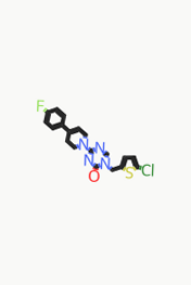 O=c1nc(N2CC=C(c3ccc(F)cc3)CC2)ncn1Cc1ccc(Cl)s1